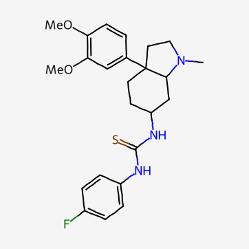 COc1ccc(C23CCC(NC(=S)Nc4ccc(F)cc4)CC2N(C)CC3)cc1OC